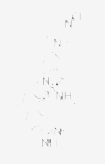 CN1CCCN(c2ccc(N(Cc3ccc4ccc(C(=N)N)cc4c3)S(N)(=O)=O)cc2)CC1